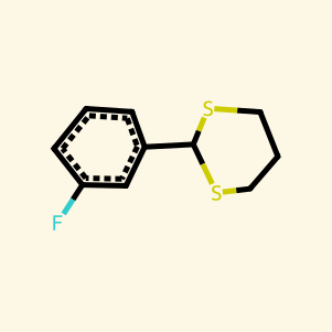 Fc1cccc(C2SCCCS2)c1